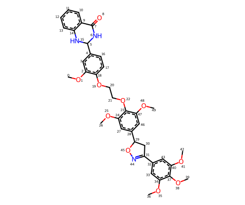 COc1cc(C2NC(=O)c3ccccc3N2)ccc1OCCOc1c(OC)cc(C2CC(c3cc(OC)c(OC)c(OC)c3)=NO2)cc1OC